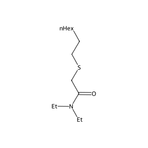 CCCCCCCCSCC(=O)N(CC)CC